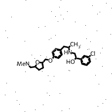 CNCC1CCC(COc2ccc(CC(C)NCC(O)c3cccc(Cl)c3)cc2)O1